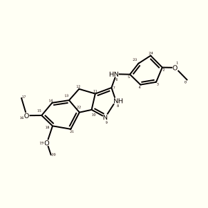 COc1ccc(Nc2[nH]nc3c2Cc2cc(OC)c(OC)cc2-3)cc1